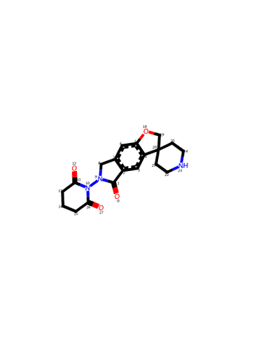 O=C1c2cc3c(cc2CN1N1C(=O)CCCC1=O)OCC31CCNCC1